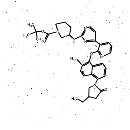 CCC1CC(=O)N(c2cccc3c(Oc4ncccc4-c4ccnc(NC5CCCN(C(=O)OC(C)(C)C)C5)n4)c(C)ccc23)C1